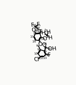 [2H]C([2H])([2H])Oc1c(OCc2cc(Cl)cc(F)c2C(=O)O)ccc(OC(F)(F)F)c1F